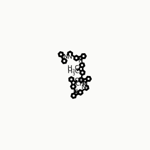 CC1(C)c2ccccc2-c2ccc(-n3c4ccccc4c4ccc(-c5cccc(-n6c7ccccc7c7c(-c8ccc9c(c8)C(C)(C)c8cc(-n%10c%11ccccc%11c%11cc(-c%12cccc(-n%13c%14ccccc%14c%14ccccc%14%13)n%12)ccc%11%10)ccc8-9)cccc76)n5)cc43)cc21